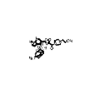 O=C(c1nc(-c2cnc3[nH]ccc3c2N[C@@H]2[C@@H]3CC4C[C@H]2CC(O)(C4)C3)no1)N1CCN(CCO)CC1